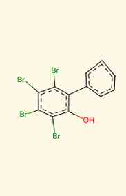 Oc1c(Br)c(Br)c(Br)c(Br)c1-c1ccccc1